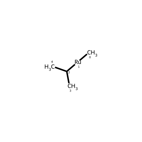 [CH3][Ru][CH](C)C